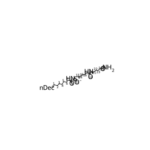 CCCCCCCCCCCCCCCCCC(=O)N[S+]([O-])CCCCCC(=O)NCCCCON